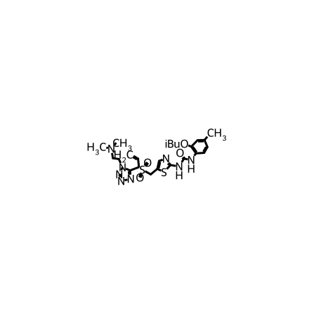 C=CC(c1nnnn1CCN(C)C)S(=O)(=O)Cc1cnc(NC(=O)Nc2ccc(C)cc2OCC(C)C)s1